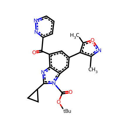 Cc1noc(C)c1-c1cc(C(=O)c2cccnn2)c2nc(C3CC3)n(C(=O)OC(C)(C)C)c2c1